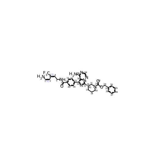 N/C=C\C(=C/CNC(=O)c1ccc(-c2nc([C@@H]3CCCN(C(=O)OCc4ccccc4)C3)n3ncnc(N)c23)cc1)C(F)(F)F